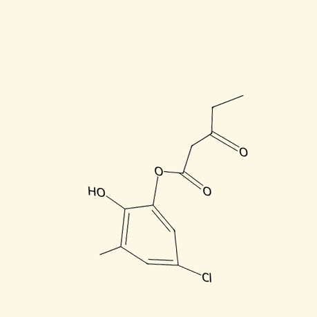 CCC(=O)CC(=O)Oc1cc(Cl)cc(C)c1O